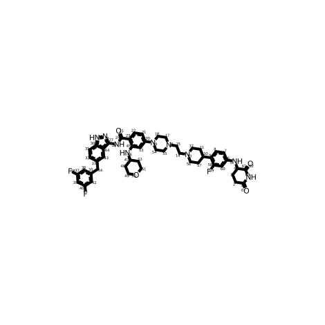 O=C1CCC(Nc2ccc(C3CCN(CCN4CCN(c5ccc(C(=O)Nc6n[nH]c7ccc(Cc8cc(F)cc(F)c8)cc67)c(NC6CCOCC6)c5)CC4)CC3)c(F)c2)C(=O)N1